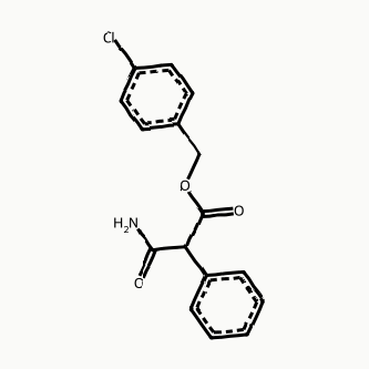 NC(=O)C(C(=O)OCc1ccc(Cl)cc1)c1ccccc1